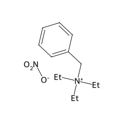 CC[N+](CC)(CC)Cc1ccccc1.O=[N+]([O-])[O-]